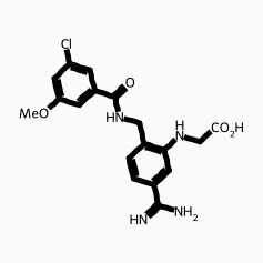 COc1cc(Cl)cc(C(=O)NCc2ccc(C(=N)N)cc2NCC(=O)O)c1